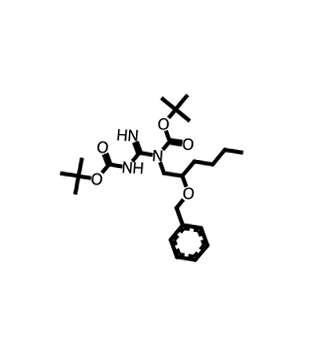 CCCCC(CN(C(=N)NC(=O)OC(C)(C)C)C(=O)OC(C)(C)C)OCc1ccccc1